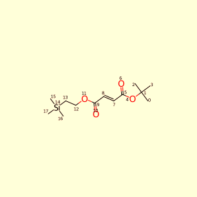 CC(C)(C)OC(=O)/C=C/C(=O)OCC[Si](C)(C)C